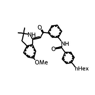 CCCCCCc1ccc(C(=O)Nc2cccc(C(=O)C=C3NC(C)(C)Cc4ccc(OC)cc43)c2)cc1